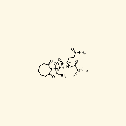 C[C@H](N)C(=O)N[C@H](CCC(N)=O)C(=O)N[C@@](CN)(C(=O)O)N1C(=O)CCCCCC1=O